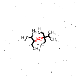 CCC(O)(CC)C(C)C.CCC(O)C(C)C